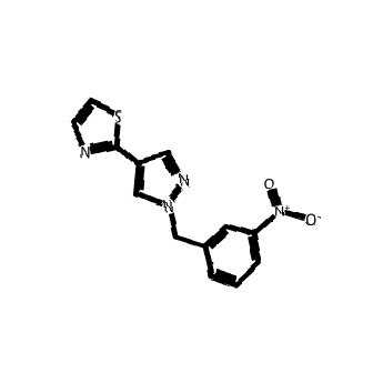 O=[N+]([O-])c1cccc(Cn2cc(-c3nccs3)cn2)c1